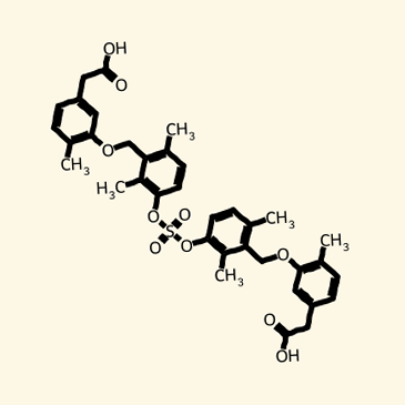 Cc1ccc(CC(=O)O)cc1OCc1c(C)ccc(OS(=O)(=O)Oc2ccc(C)c(COc3cc(CC(=O)O)ccc3C)c2C)c1C